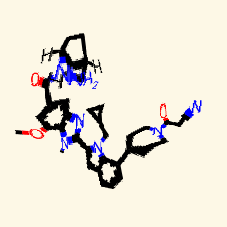 COc1cc(C(=O)N2C[C@H]3CC[C@@H]2[C@@H]3N)cc2nc(-c3cc4cccc(C5CCN(C(=O)CC#N)CC5)c4n3CC3CC3)n(C)c12